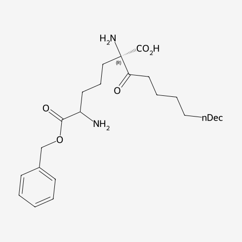 CCCCCCCCCCCCCCC(=O)[C@](N)(CCCC(N)C(=O)OCc1ccccc1)C(=O)O